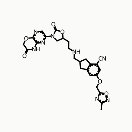 Cc1noc(COc2cc(C#N)c3c(c2)CC(CNCCC2CN(c4cnc5c(n4)NC(=O)CO5)C(=O)O2)C3)n1